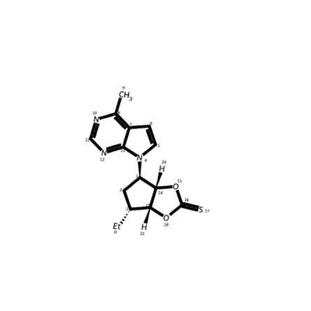 CC[C@@H]1C[C@@H](n2ccc3c(C)ncnc32)[C@@H]2OC(=S)O[C@H]12